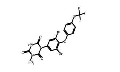 Cn1c(=O)[nH]c(=O)n(-c2cc(Br)c(Oc3ccc(SC(F)(F)F)cc3)c(Br)c2)c1=O